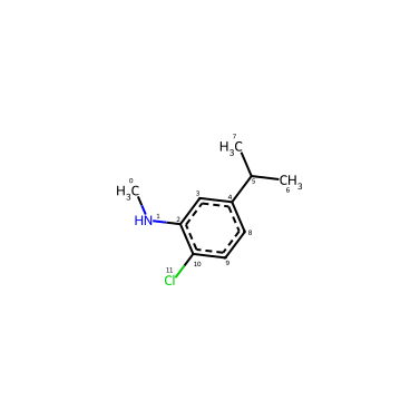 CNc1cc(C(C)C)ccc1Cl